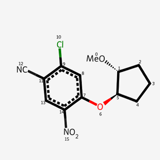 CO[C@@H]1CCC[C@H]1Oc1cc(Cl)c(C#N)cc1[N+](=O)[O-]